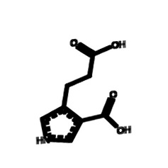 O=C(O)CCc1c[nH]cc1C(=O)O